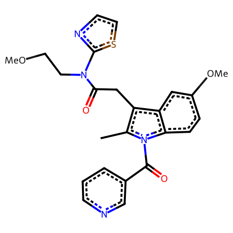 COCCN(C(=O)Cc1c(C)n(C(=O)c2cccnc2)c2ccc(OC)cc12)c1nccs1